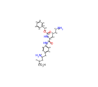 CC(C[C@@H](N)Cc1ccc(NC(=O)[C@H](CCCCN)NC(=O)OCc2ccccc2)cc1)C(=O)O